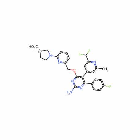 Cc1cc(-c2c(OCc3cccc(N4CC[C@H](C(=O)O)C4)n3)nc(N)nc2-c2ccc(F)cc2)cc(C(F)F)n1